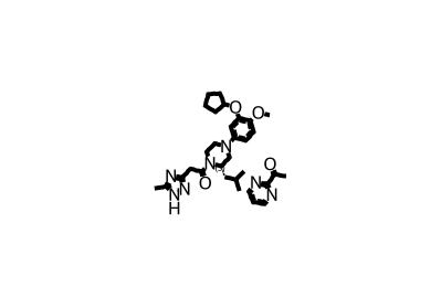 CC(=O)c1ncccn1.COc1ccc(N2CCN(C(=O)Cc3n[nH]c(C)n3)[C@@H](CC(C)C)C2)cc1OC1CCCC1